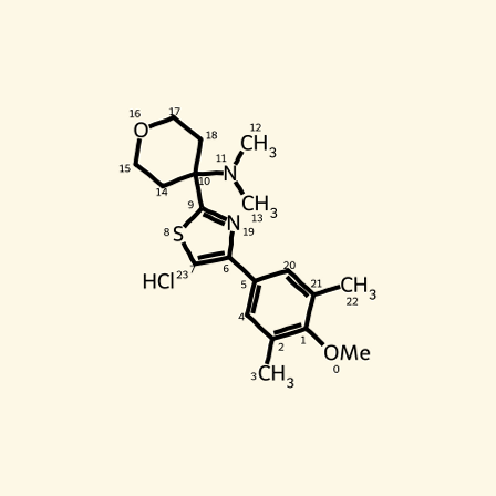 COc1c(C)cc(-c2csc(C3(N(C)C)CCOCC3)n2)cc1C.Cl